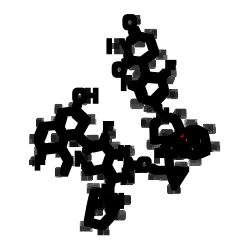 CCc1c(F)ccc2cc(O)cc(-c3ncc4c(N5CC6CCC(C5)N6)nc(OCC5(CN6CC7CC(C6)N7CC6(F)CCN(c7cc(F)c(C8CCC(=O)NC8=O)c(F)c7)CC6)CC5)nc4c3F)c12